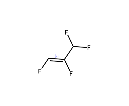 F/C=C(\F)C(F)F